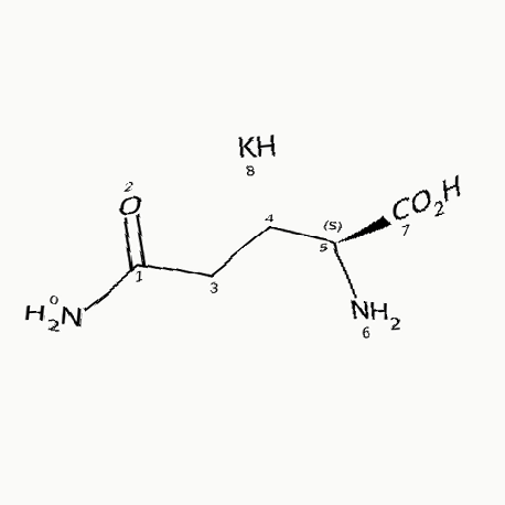 NC(=O)CC[C@H](N)C(=O)O.[KH]